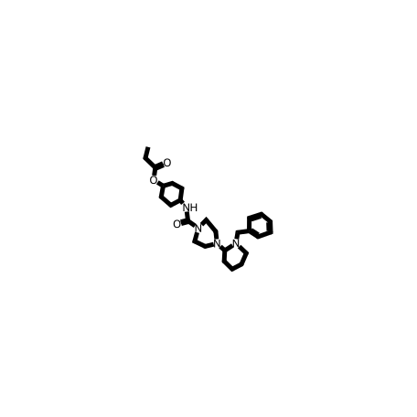 CCC(=O)OC1CCC(NC(=O)N2CCN(C3CCCCN3Cc3ccccc3)CC2)CC1